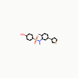 Cc1ccc(-c2ccsc2)cc1N(C)S(=O)(=O)c1ccc(O)cc1